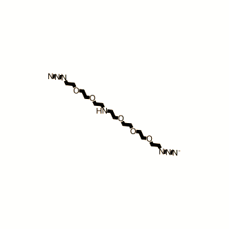 [N-]=[N+]=NCCOCCOCCNCCOCCOCCOCCN=[N+]=[N-]